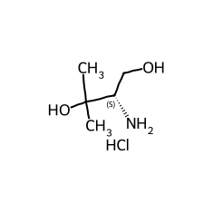 CC(C)(O)[C@@H](N)CO.Cl